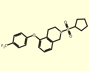 O=S(=O)(C1CCCC1)N1CCc2c(cccc2Oc2ccc(C(F)(F)F)cc2)C1